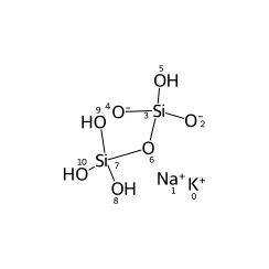 [K+].[Na+].[O-][Si]([O-])(O)O[Si](O)(O)O